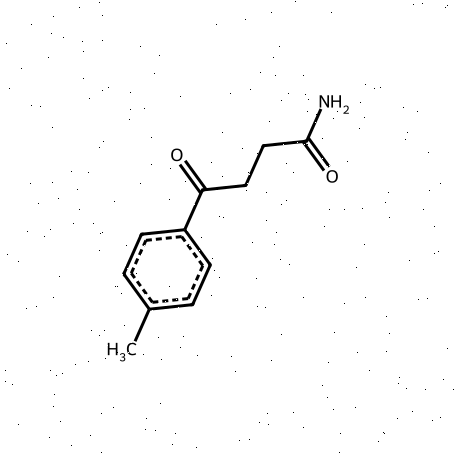 Cc1ccc(C(=O)CCC(N)=O)cc1